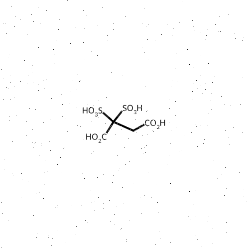 O=C(O)CC(C(=O)O)(S(=O)(=O)O)S(=O)(=O)O